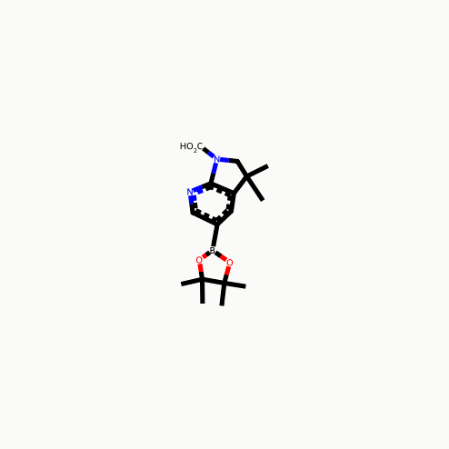 CC1(C)CN(C(=O)O)c2ncc(B3OC(C)(C)C(C)(C)O3)cc21